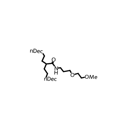 CCCCCCCCCCCCC(CCCCCCCCCCCC)C(=O)NCCCOCCOC